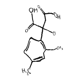 Cc1ccc(C(Cl)(C(=O)O)C(=O)O)c(C)c1